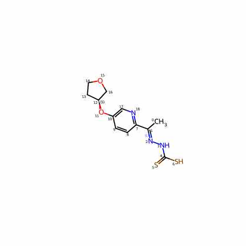 C/C(=N\NC(=S)S)c1ccc(O[C@H]2CCOC2)cn1